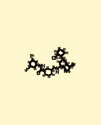 O=C(Nc1cc(F)cc(F)c1)N1CCCC(CNc2cc(-c3ccccc3Cl)nc3c(Br)cnn23)C1